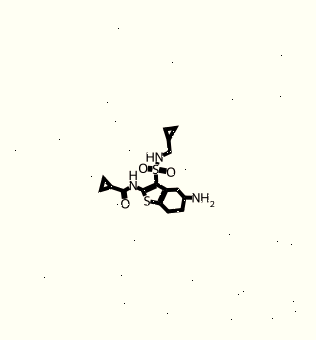 NC1CCc2sc(NC(=O)C3CC3)c(S(=O)(=O)NCC3CC3)c2C1